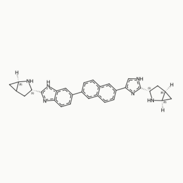 c1cc2cc(-c3c[nH]c([C@@H]4C[C@H]5C[C@H]5N4)n3)ccc2cc1-c1ccc2nc([C@@H]3CC4C[C@H]4N3)[nH]c2c1